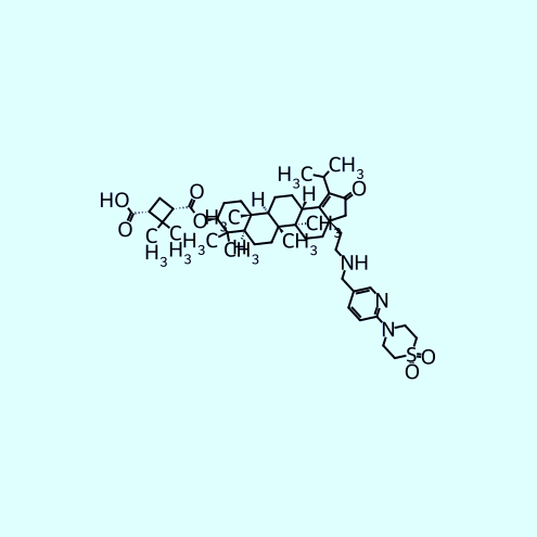 CC(C)C1=C2[C@H]3CC[C@@H]4[C@@]5(C)CC[C@H](OC(=O)[C@H]6C[C@@H](C(=O)O)C6(C)C)C(C)(C)[C@@H]5CC[C@@]4(C)[C@]3(C)CC[C@@]2(CCNCc2ccc(N3CCS(=O)(=O)CC3)nc2)CC1=O